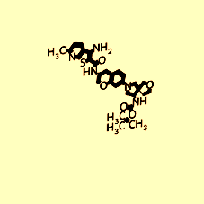 Cc1ccc2c(N)c(C(=O)N[C@H]3COc4cc(N5C[C@H](NC(=O)OC(C)(C)C)[C@@]6(CCOC6)C5)ccc4C3)sc2n1